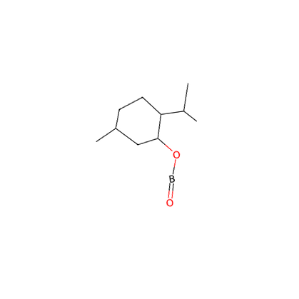 CC1CCC(C(C)C)C(OB=O)C1